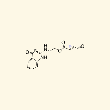 O=C/C=C/C(=O)OCCNc1nc(=O)c2ccccc2[nH]1